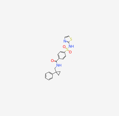 O=C(NCC1(c2ccccc2)CC1)c1ccc(S(=O)(=O)Nc2nccs2)cc1